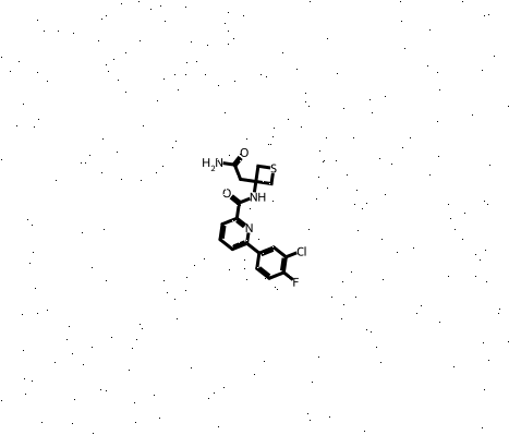 NC(=O)CC1(NC(=O)c2cccc(-c3ccc(F)c(Cl)c3)n2)CSC1